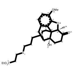 CCOC(=O)CCSCCCN1CCC23c4c5ccc(OC)c4O[C@H]2C(=O)CC[C@@]3(O)C1C5